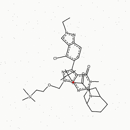 CCn1cc2c(Cl)c(-c3nn(COCC[Si](C)(C)C)c4nc(N5C6CCCC5CN(C(=O)OC(C)(C)C)C6)n(C)c(=O)c34)ccc2n1